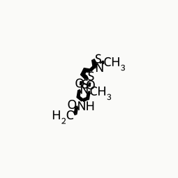 C=CC(=O)NC1CCN(S(=O)(=O)c2ccc(-c3csc(C)n3)s2)C(C)C1